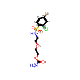 NC(=O)OCCOCCNS(=O)(=O)c1ccc(Br)cc1Cl